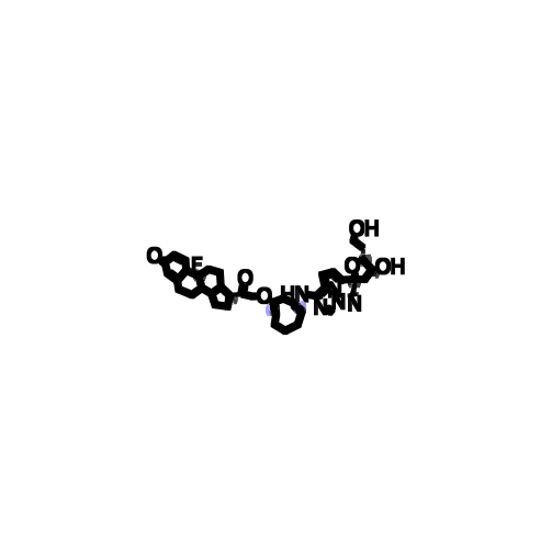 N#C[C@]1(c2ccc3c(N/C4=C/CCC/C=C(\OCC(=O)[C@H]5CCC6C5CC[C@@]5(F)C7C=CC(=O)C=C7CCC65)C4)ncnn23)C[C@H](O)[C@@H](CCO)O1